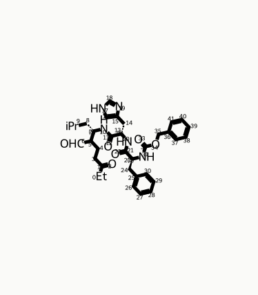 CCC(=O)CCC(C=O)[C@H](CC(C)C)NC(=O)[C@H](Cc1c[nH]cn1)NC(=O)[C@H](Cc1ccccc1)NC(=O)OCc1ccccc1